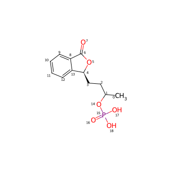 CC(CC[C@@H]1OC(=O)c2ccccc21)OP(=O)(O)O